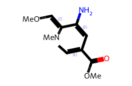 C\C=C(/C=C(N)\C(=C\OC)NC)C(=O)OC